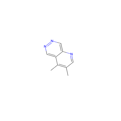 Cc1cnc2cnncc2c1C